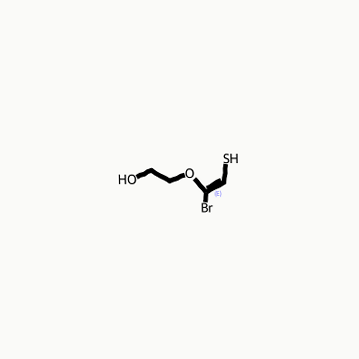 OCCO/C(Br)=C\S